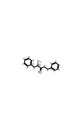 O=C(CCc1ccccc1)C(F)Cc1ccccc1